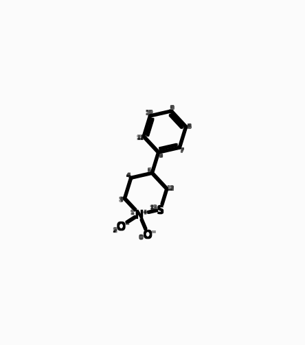 [O-][N+]1([O-])CCC(c2ccccc2)CS1